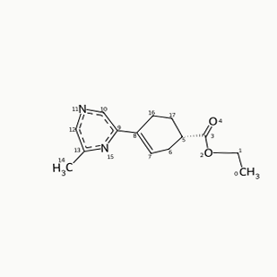 CCOC(=O)[C@@H]1CC=C(c2cncc(C)n2)CC1